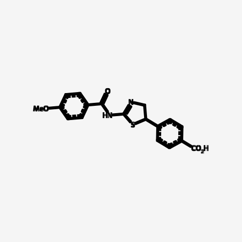 COc1ccc(C(=O)NC2=NCC(c3ccc(C(=O)O)cc3)S2)cc1